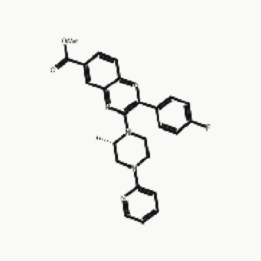 COC(=O)c1ccc2nc(-c3ccc(F)cc3)c(N3CCN(c4ccccn4)C[C@@H]3C)nc2c1